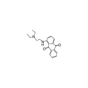 CCN(CC)CCNc1cccc2c1C(=O)c1ccccc1C2=O